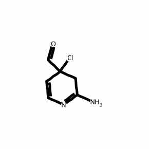 NC1=NC=CC(Cl)(C=O)C1